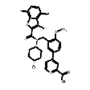 COc1ccc(-c2ccnc(C(C)=O)c2)cc1CN(C(=O)c1sc2c(F)ccc(F)c2c1Cl)[C@H]1CC[C@H](C)CC1